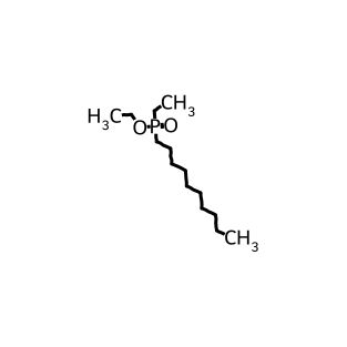 CCCCCCCCCCP(=O)(CC)OCC